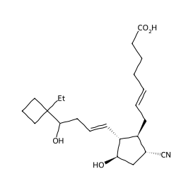 CCC1(C(O)CC=C[C@@H]2[C@@H](CC=CCCCC(=O)O)[C@H](C#N)C[C@H]2O)CCC1